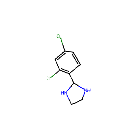 Clc1ccc(C2NCCN2)c(Cl)c1